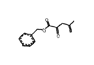 C=C(C)CC(=O)C(=O)OCc1ccccc1